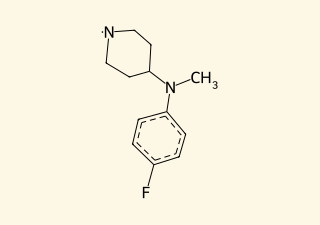 CN(c1ccc(F)cc1)C1CC[N]CC1